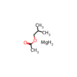 CC(=O)OCC(C)C.[MgH2]